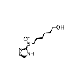 [O-][S+](CCCCCCO)c1ncc[nH]1